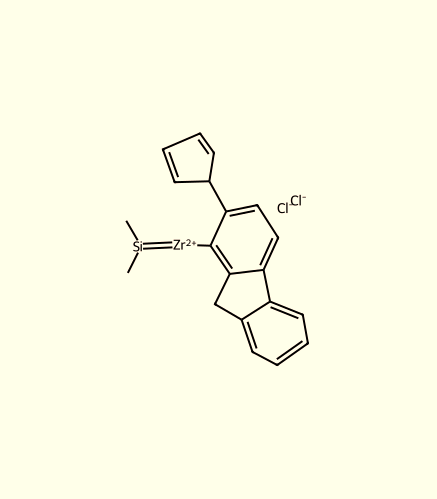 C[Si](C)=[Zr+2][c]1c(C2C=CC=C2)ccc2c1Cc1ccccc1-2.[Cl-].[Cl-]